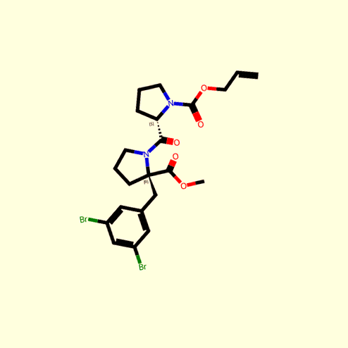 C=CCOC(=O)N1CCC[C@H]1C(=O)N1CCC[C@@]1(Cc1cc(Br)cc(Br)c1)C(=O)OC